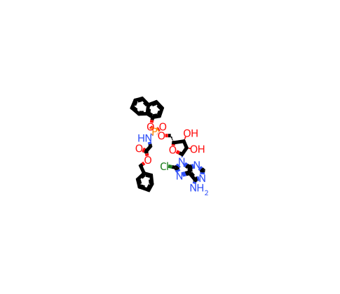 Nc1ncnc2c1nc(Cl)n2[C@@H]1O[C@H](COP(=O)(NCC(=O)OCc2ccccc2)Oc2cccc3ccccc23)[C@H](O)[C@@H]1O